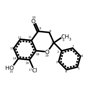 CC1(c2ccccc2)CC(=O)c2ccc(O)c(Cl)c2O1